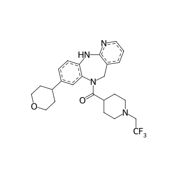 O=C(C1CCN(CC(F)(F)F)CC1)N1Cc2cccnc2Nc2ccc(C3CCOCC3)cc21